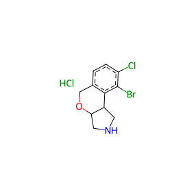 Cl.Clc1ccc2c(c1Br)C1CNCC1OC2